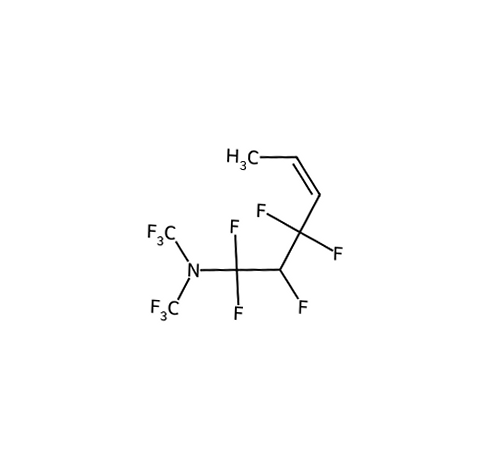 C/C=C\C(F)(F)C(F)C(F)(F)N(C(F)(F)F)C(F)(F)F